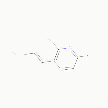 CCc1nc(C(F)(F)F)ccc1/C=C/C(=O)O